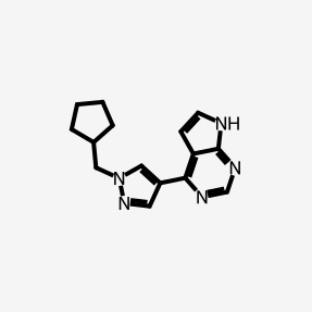 c1nc(-c2cnn(CC3CCCC3)c2)c2cc[nH]c2n1